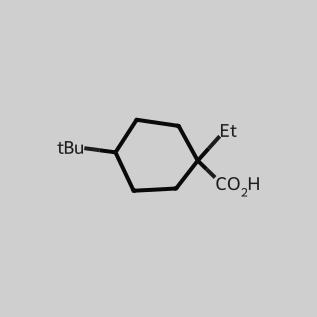 CCC1(C(=O)O)CCC(C(C)(C)C)CC1